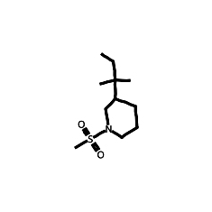 CCC(C)(C)C1CCCN(S(C)(=O)=O)C1